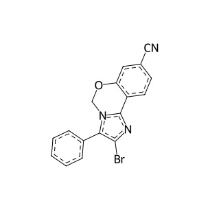 N#Cc1ccc2c(c1)OCn1c-2nc(Br)c1-c1ccccc1